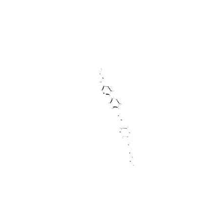 CCCCCCC[C@H]1CC[C@H](CCCOc2ccc(-c3ccc(CCCC)cn3)cc2)CC1